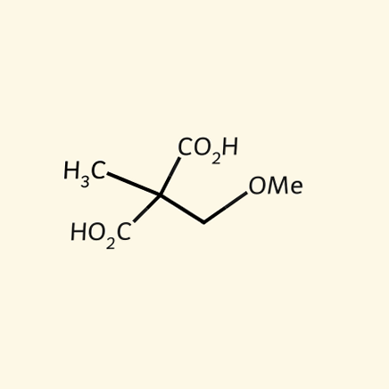 COCC(C)(C(=O)O)C(=O)O